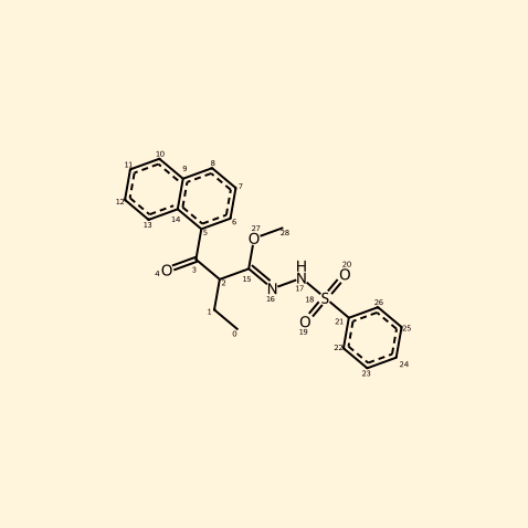 CCC(C(=O)c1cccc2ccccc12)C(=NNS(=O)(=O)c1ccccc1)OC